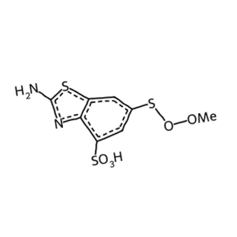 COOSc1cc(S(=O)(=O)O)c2nc(N)sc2c1